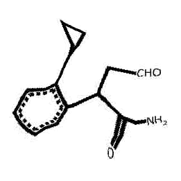 NC(=O)C(CC=O)c1ccccc1C1CC1